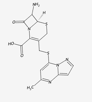 Cc1cc(SCC2=C(C(=O)O)N3C(=O)C(N)[C@H]3SC2)n2nccc2n1